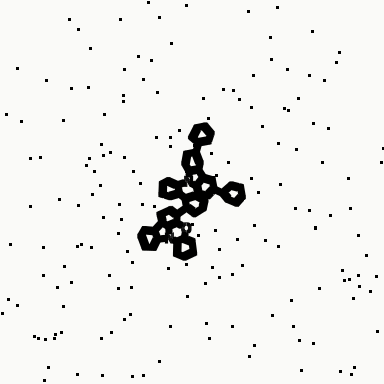 c1ccc(-c2ccc3c(c2)c2cc(-c4ccccc4)ccc2n3-c2ccccc2-c2ccccc2-c2ccc3c4ccccc4n4c3c2Oc2ccccc2-4)cc1